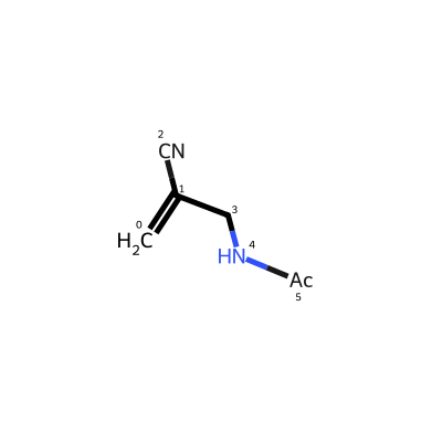 C=C(C#N)CNC(C)=O